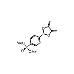 C=C1OB(c2ccc(P(=O)(OC)OC)cc2)OC1=C